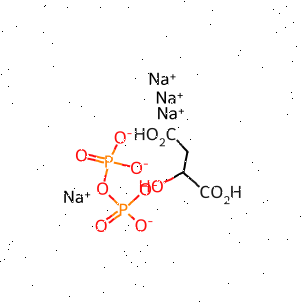 O=C(O)CC(O)C(=O)O.O=P([O-])([O-])OP(=O)([O-])[O-].[Na+].[Na+].[Na+].[Na+]